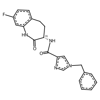 O=C(N[C@H]1CCc2ccc(F)cc2NC1=O)c1cn(Cc2ccccc2)cn1